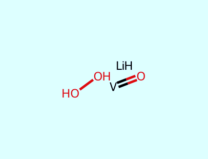 OO.[LiH].[O]=[V]